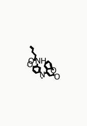 C=CCCC(=O)Nc1cc(N(C)c2cc(=O)oc3ccccc23)ccc1OC